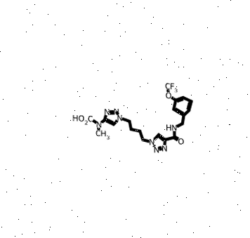 CN(C(=O)O)c1cn(CCCCn2cc(C(=O)NCc3cccc(OC(F)(F)F)c3)nn2)nn1